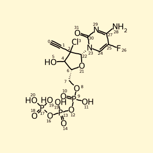 C#CC1(Cl)C(O)[C@@H](COP(=O)(O)OP(=O)(O)OP(=O)(O)O)O[C@H]1n1cc(F)c(N)nc1=O